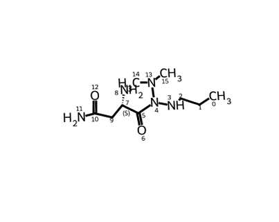 CCCNN(C(=O)[C@@H](N)CC(N)=O)N(C)C